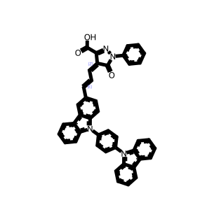 O=C(O)C1=NN(c2ccccc2)C(=O)/C1=C\C=C\c1ccc2c(c1)c1ccccc1n2-c1ccc(-n2c3ccccc3c3ccccc32)cc1